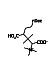 CCCCCCCCCCCCC(C(=O)O)C(C)(C)C(C(=O)[O-])[N+](C)(C)C